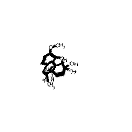 [2H]C1(O)C=C[C@H]2[C@@]3([2H])Cc4ccc(OC)c5c4[C@@]2(CCN3C)C1([2H])O5